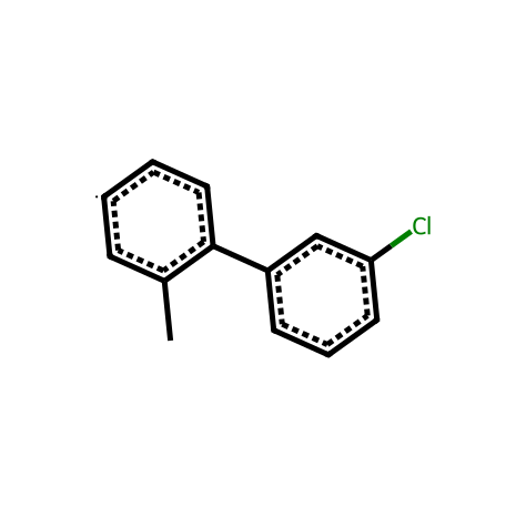 Cc1c[c]ccc1-c1cccc(Cl)c1